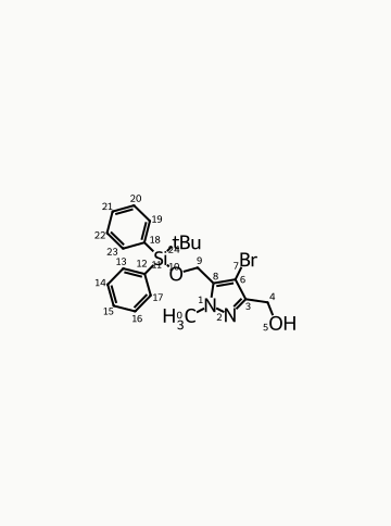 Cn1nc(CO)c(Br)c1CO[Si](c1ccccc1)(c1ccccc1)C(C)(C)C